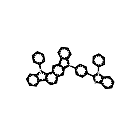 c1ccc(-n2c(-c3ccc(-n4c5ccccc5c5cc6c(ccc7c8ccccc8n(-c8ccccc8)c67)cc54)cc3)nc3ccccc32)cc1